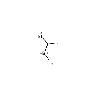 CCC(C)BI